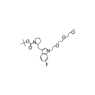 COCCOCCOCCn1cc(CC2CCCN2C(=O)OC(C)(C)C)c2ccc(F)cc21